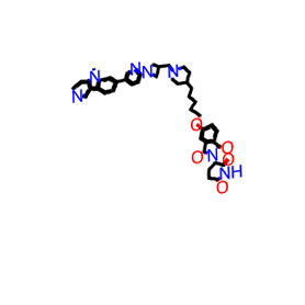 Cn1c2ccncc2c2ccc(-c3ccc(N4CC(CN5CCC(CCCCCOc6ccc7c(c6)C(=O)N(C6CCC(=O)NC6=O)C7=O)CC5)C4)nc3)cc21